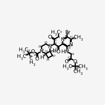 CCC(=O)C(C(=O)c1nc(Br)c(C)nc1NCC(=O)OC(C)(C)C)N1CCN(C(=O)OC(C)(C)C)[C@H]2CC[C@@H]21